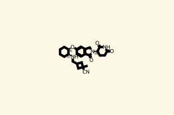 CC1(C#N)CC(CN[C@H]2CCCC[C@H]2Oc2ccc3c(c2)CN([C@@H]2CCC(=O)NC2=O)C3=O)C1